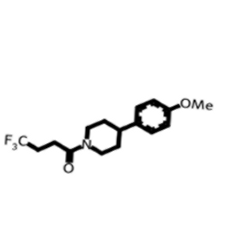 COc1ccc(C2CCN(C(=O)CCC(F)(F)F)CC2)cc1